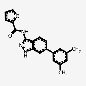 Cc1cc(C)cc(-c2ccc3c(NC(=O)c4ccco4)n[nH]c3c2)c1